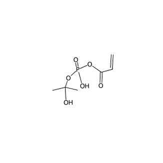 C=CC(=O)OP(=O)(O)OC(C)(C)O